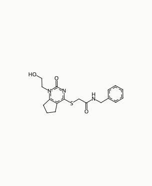 O=C(CSc1nc(=O)n(CCO)c2c1CCC2)NCc1ccccc1